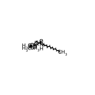 CCCCCCCCCCCCNC(=O)C1CCN(C(=O)OC(C)(C)C)C1